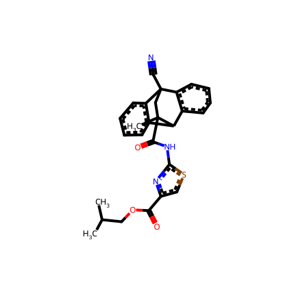 CC(C)COC(=O)c1csc(NC(=O)C2(C)CC3(C#N)c4ccccc4C2c2ccccc23)n1